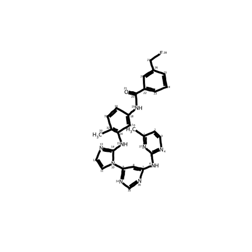 Cc1ccnc(Nc2cc(-n3ccnc3Nc3cc(NC(=O)c4cccc(CF)c4)ccc3C)ncn2)n1